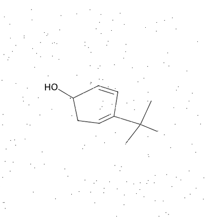 CC(C)(C)C1=CC[C](O)C=C1